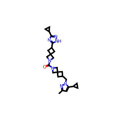 Cc1cc(C2CC2)n(CC2CC3(C2)CN(C(=O)N2CC4(CC(c5nc(C6CC6)n[nH]5)C4)C2)C3)n1